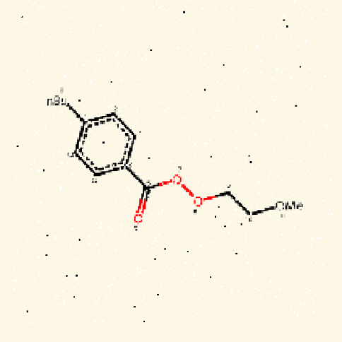 CCCCc1ccc(C(=O)OO[CH]COC)cc1